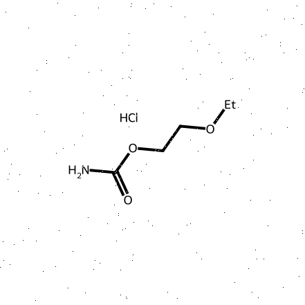 CCOCCOC(N)=O.Cl